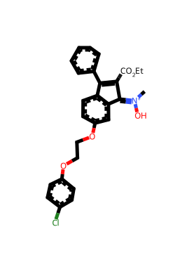 CCOC(=O)C1=C(c2ccccc2)c2ccc(OCCOc3ccc(Cl)cc3)cc2/C1=[N+](/C)O